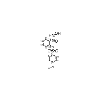 CCc1ccc(S(=O)(=O)Cc2ccccc2C(=O)NO)cc1